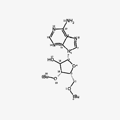 CC(C)(C)OC[C@H]1O[C@@H](n2cnc3c(N)ncnc32)C(O)[C@H]1OC(C)(C)C